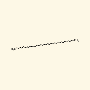 CCCCCCCC=CC=CC=CCCCCCCC=CCCCCCCCCCCCCCCC